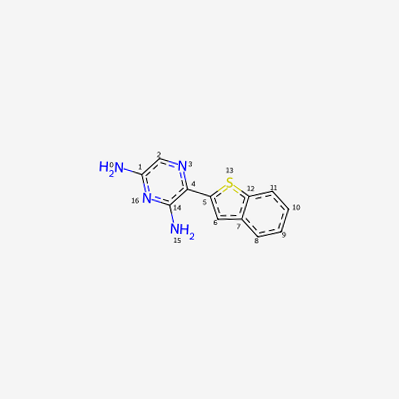 Nc1cnc(-c2cc3ccccc3s2)c(N)n1